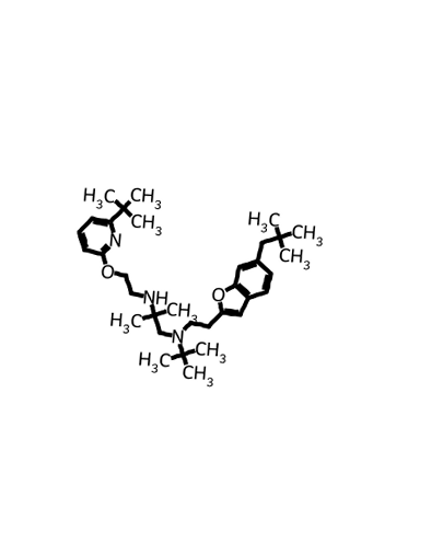 CC(C)(C)Cc1ccc2cc(CCN(CC(C)(C)NCCOc3cccc(C(C)(C)C)n3)C(C)(C)C)oc2c1